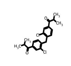 CC(C)C(=O)c1ccc(Cc2ccc(C(=O)C(C)C)cc2Cl)c(Cl)c1